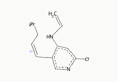 C=CNc1cc(Cl)ncc1/C=C\CC(C)C